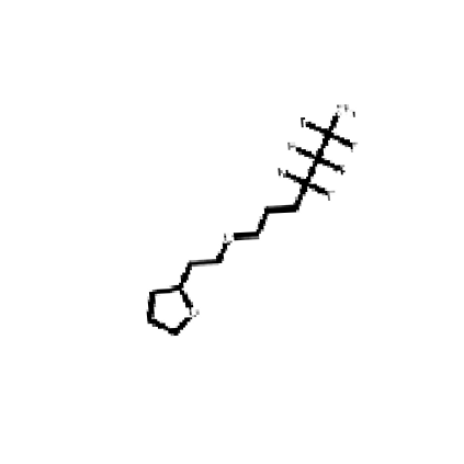 FC(F)(F)C(F)(F)C(F)(F)C(F)(F)CCCOCCC1CCCO1